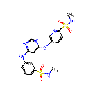 CNS(=O)(=O)c1cccc(Nc2cc(Nc3ccc(S(=O)(=O)NC)nc3)ncn2)c1